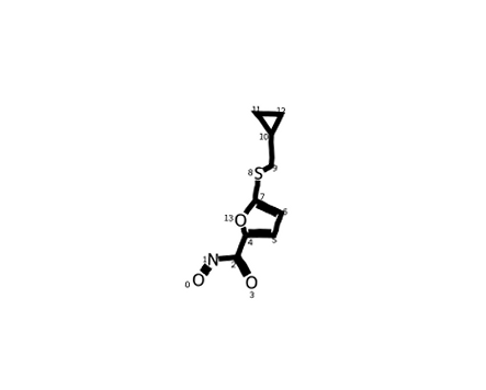 O=NC(=O)c1ccc(SCC2CC2)o1